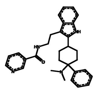 CN(C)C1(c2ccccc2)CCC(c2[nH]c3ccccc3c2CCNC(=O)c2cccnc2)CC1